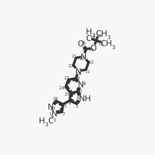 Cn1cc(-c2c[nH]c3nc(N4CCN(C(=O)OC(C)(C)C)CC4)ccc23)cn1